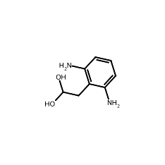 Nc1cccc(N)c1CC(O)O